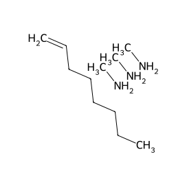 C=CCCCCCC.CN.CN.CN